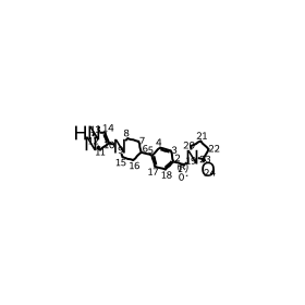 C[C@H](c1ccc(C2CCN(c3cn[nH]c3)CC2)cc1)N1CCCC1=O